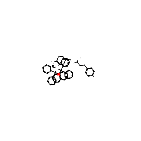 O=C(CCc1ccc(Cl)cc1)NCC1CCC2=C(C1)[N+](C(c1ccccc1)(c1ccccc1)c1ccccc1)(C(c1ccccc1)(c1ccccc1)c1ccccc1)C=N2